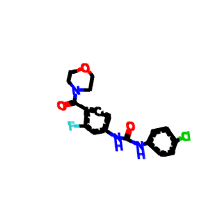 O=C(Nc1ccc(Cl)cc1)Nc1ccc(C(=O)N2CCOCC2)c(F)c1